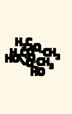 CCOC(C)=O.CCOCC.OCCOCCO